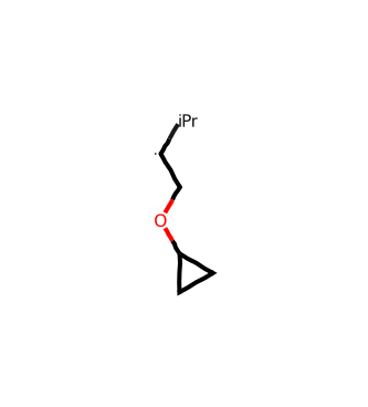 CC(C)[CH]COC1CC1